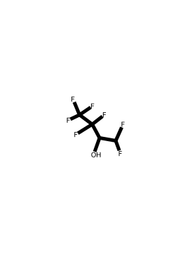 OC(C(F)F)C(F)(F)C(F)(F)F